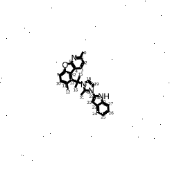 Cc1ccc2c(n1)oc1ccc(C)c(C(C)(C)N3C=CN(c4cc5ccccc5[nH]4)C3C)c12